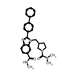 CNC(=O)c1ccc2nc(-c3ccc(-c4ccccc4)cc3)n(CC3CCN(C(=O)N(C)C)C3)c2c1